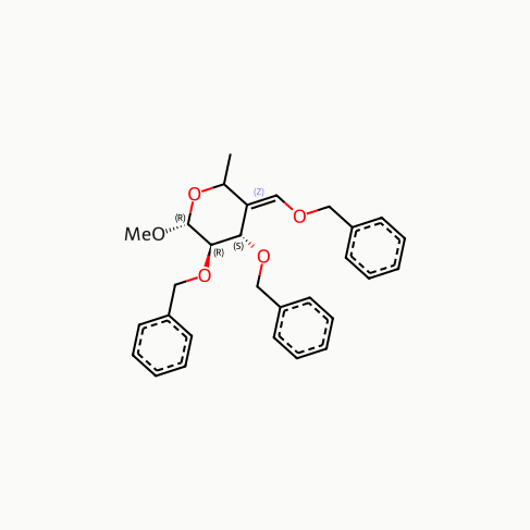 CO[C@@H]1OC(C)/C(=C/OCc2ccccc2)[C@H](OCc2ccccc2)[C@H]1OCc1ccccc1